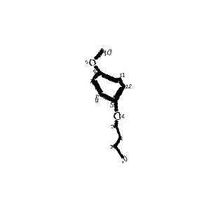 [CH2]CCCOc1ccc(OC)cc1